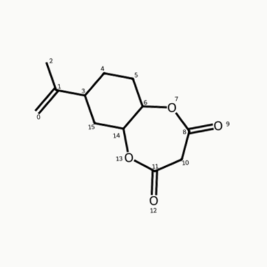 C=C(C)C1CCC2OC(=O)CC(=O)OC2C1